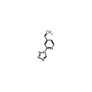 C=Cc1ccnc(-n2cnnn2)c1